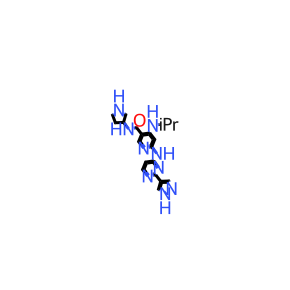 CC(C)Nc1cc(Nc2ccnc(-c3cn[nH]c3)n2)ncc1C(=O)NC1CCNC1